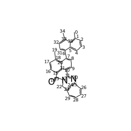 Cc1cccc2c(-c3ccc4c5n(c(=O)c6ccc(C)c3c64)CC3=CC(C=CC=C3)N=5)ccc(C)c12